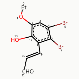 CCOc1cc(Br)c(Br)c(C=CC=O)c1O